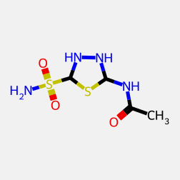 CC(=O)NC1NNC(S(N)(=O)=O)S1